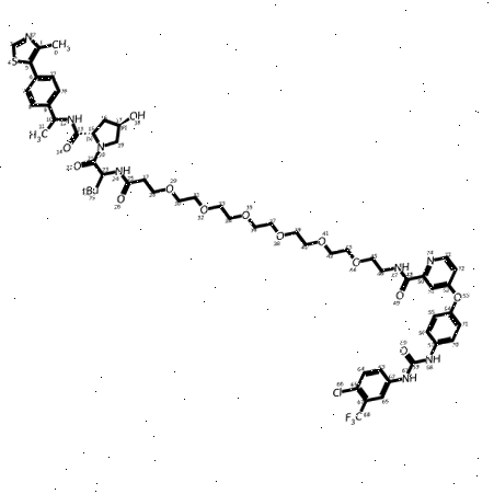 Cc1ncsc1-c1ccc(C(C)NC(=O)[C@@H]2C[C@@H](O)CN2C(=O)C(NC(=O)CCOCCOCCOCCOCCOCCOCCNC(=O)c2cc(Oc3ccc(NC(=O)Nc4ccc(Cl)c(C(F)(F)F)c4)cc3)ccn2)C(C)(C)C)cc1